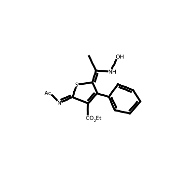 CCOC(=O)C1=C(c2ccccc2)/C(=C(/C)NO)SC1=NC(C)=O